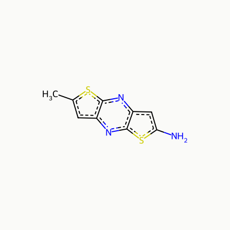 Cc1cc2nc3sc(N)cc3nc2s1